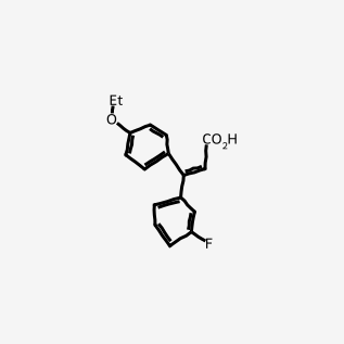 CCOc1ccc(/C(=C\C(=O)O)c2cccc(F)c2)cc1